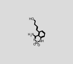 NC1=NS(=O)(=O)Nc2cccc(C=CCCO)c21